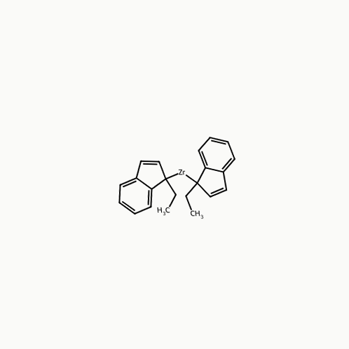 CC[C]1([Zr][C]2(CC)C=Cc3ccccc32)C=Cc2ccccc21